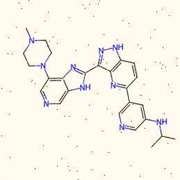 CC(C)Nc1cncc(-c2ccc3[nH]nc(-c4nc5c(N6CCN(C)CC6)cncc5[nH]4)c3n2)c1